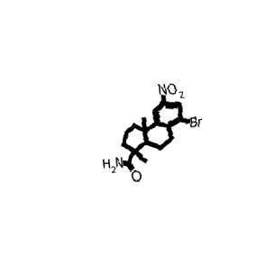 CC1(C(N)=O)CCCC2(C)c3cc([N+](=O)[O-])cc(Br)c3CCC12